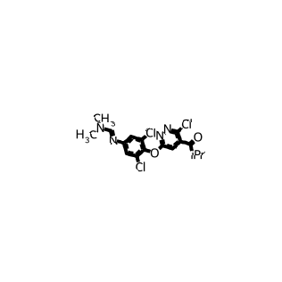 CC(C)C(=O)c1cc(Oc2c(Cl)cc(N=CN(C)C)cc2Cl)nnc1Cl